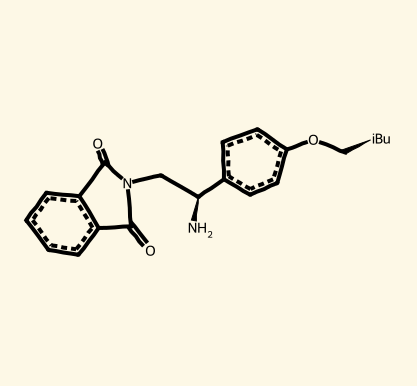 CC[C@H](C)COc1ccc([C@@H](N)CN2C(=O)c3ccccc3C2=O)cc1